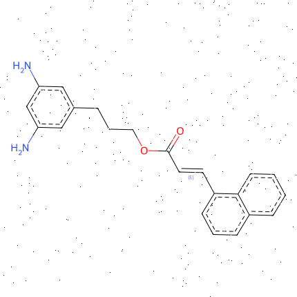 Nc1cc(N)cc(CCCOC(=O)/C=C/c2cccc3ccccc23)c1